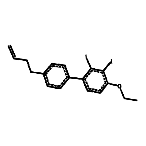 C=CCCc1ccc(-c2ccc(OCC)c(I)c2I)cc1